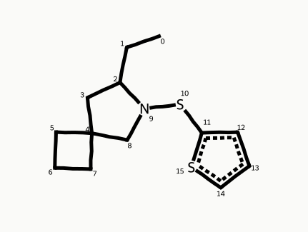 CCC1CC2(CCC2)CN1Sc1cccs1